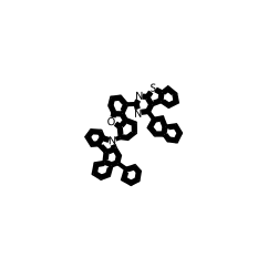 c1ccc(-c2cc3c(c4ccccc24)c2ccccc2n3-c2cccc3c2oc2cccc(-c4nc(-c5ccc6ccccc6c5)c5c(n4)sc4ccccc45)c23)cc1